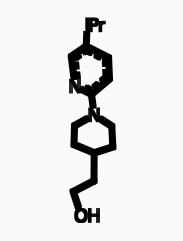 CC(C)c1ccc(N2CCC(CCO)CC2)nc1